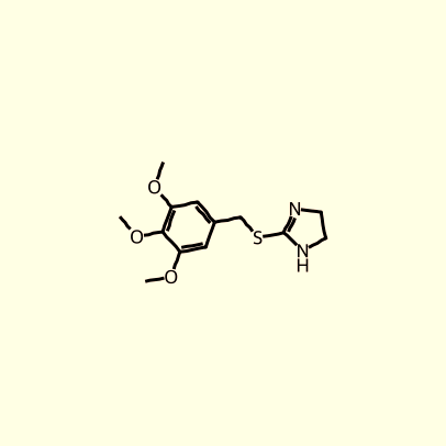 COc1cc(CSC2=NCCN2)cc(OC)c1OC